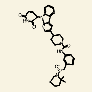 CC1(C)CCCCN1[S+]([O-])Cc1cccc(NC(=O)N2CCC(c3cnc4c(c3)c3ccccc3n4C3CCC(=O)NC3=O)CC2)c1